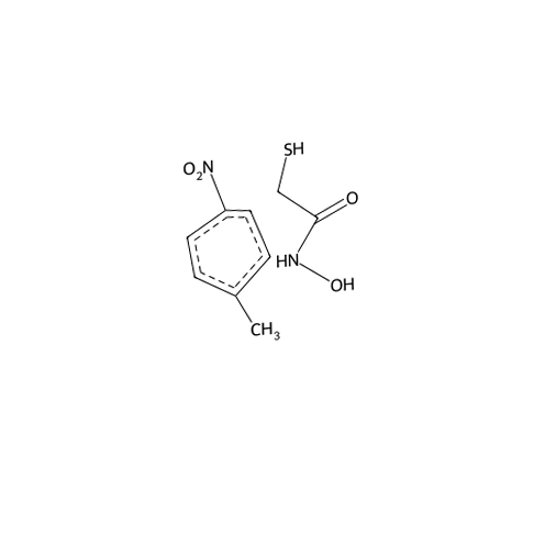 Cc1ccc([N+](=O)[O-])cc1.O=C(CS)NO